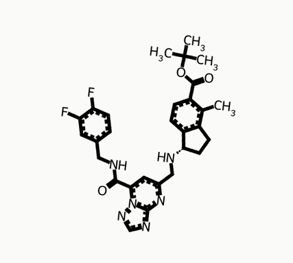 Cc1c(C(=O)OC(C)(C)C)ccc2c1CC[C@@H]2NCc1cc(C(=O)NCc2ccc(F)c(F)c2)n2ncnc2n1